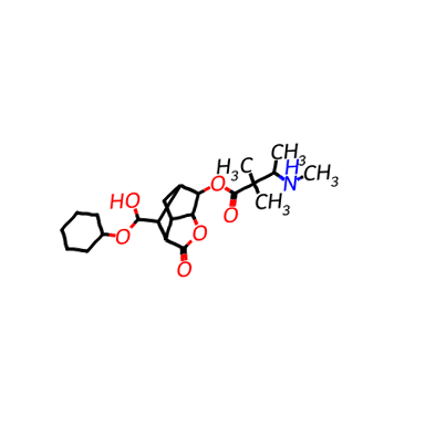 CNC(C)C(C)(C)C(=O)OC1C2CC3C1OC(=O)C3C2C(O)OC1CCCCC1